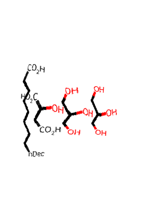 CCCCCCCCCCCCCCCCCC(=O)O.O=C(O)CC(O)C(=O)O.OCC(O)CO.OCC(O)CO